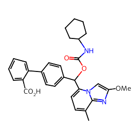 COc1cn2c(C(OC(=O)NC3CCCCC3)c3ccc(-c4ccccc4C(=O)O)cc3)ccc(C)c2n1